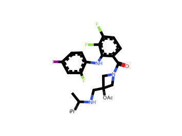 CC(=O)OC1(CNC(C)C(C)C)CN(C(=O)c2ccc(F)c(F)c2Nc2ccc(I)cc2F)C1